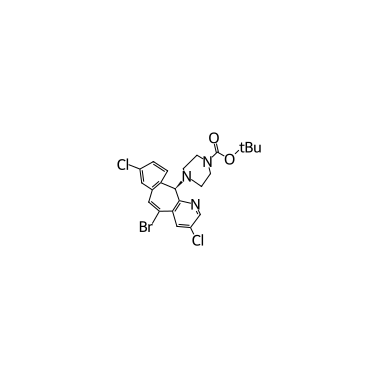 CC(C)(C)OC(=O)N1CCN([C@@H]2c3ccc(Cl)cc3C=C(Br)c3cc(Cl)cnc32)CC1